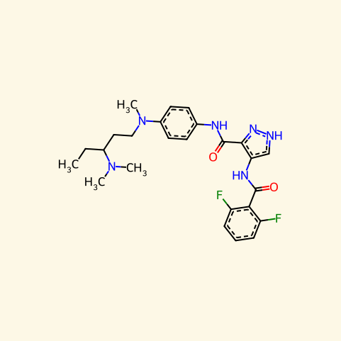 CCC(CCN(C)c1ccc(NC(=O)c2n[nH]cc2NC(=O)c2c(F)cccc2F)cc1)N(C)C